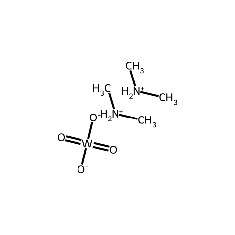 C[NH2+]C.C[NH2+]C.[O]=[W](=[O])([O-])[O-]